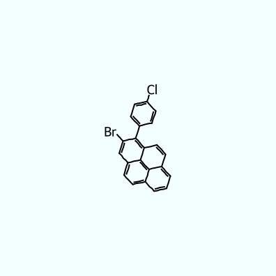 Clc1ccc(-c2c(Br)cc3ccc4cccc5ccc2c3c45)cc1